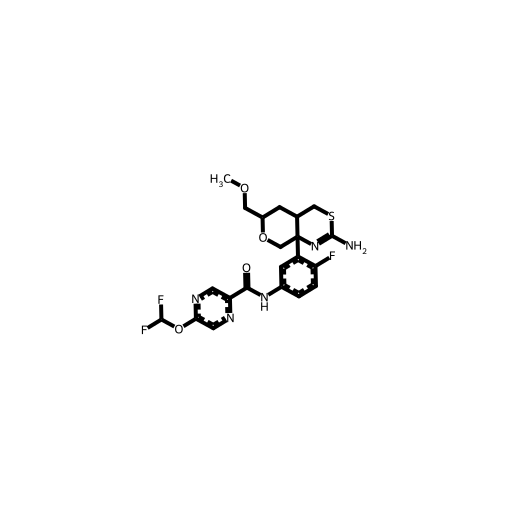 COCC1CC2CSC(N)=NC2(c2cc(NC(=O)c3cnc(OC(F)F)cn3)ccc2F)CO1